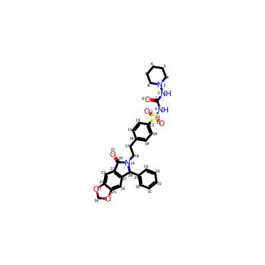 O=C(NN1CCCCC1)NS(=O)(=O)c1ccc(CCN2C(=O)c3cc4c(cc3C2c2ccccc2)OCO4)cc1